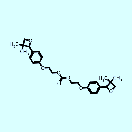 CC1(C)COC1c1ccc(OCCOC(=O)OCCOc2ccc(C3OCC3(C)C)cc2)cc1